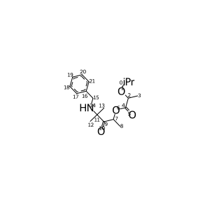 CC(C)OC(C)C(=O)OC(C)C(=O)C(C)(C)NCc1ccccc1